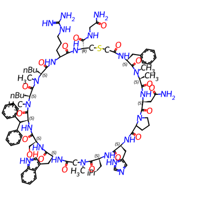 CCCC[C@H]1C(=O)N(C)[C@@H](CCCC)C(=O)NC(CCCNC(=N)N)C(=O)N[C@H](C(=O)NCC(N)=O)CSCC(=O)N[C@@H](Cc2ccccc2)C(=O)N(C)[C@@H](C)C(=O)N[C@@H](CC(N)=O)C(=O)N2CCCC2C(=O)N[C@@H](Cc2cnc[nH]2)C(=O)N[C@@H](CC(C)C)C(=O)N(C)CC(=O)N[C@@H](Cc2c[nH]c3ccccc23)C(=O)N[C@@H](CO)C(=O)N[C@@H](C(c2ccccc2)c2ccccc2)C(=O)N1C